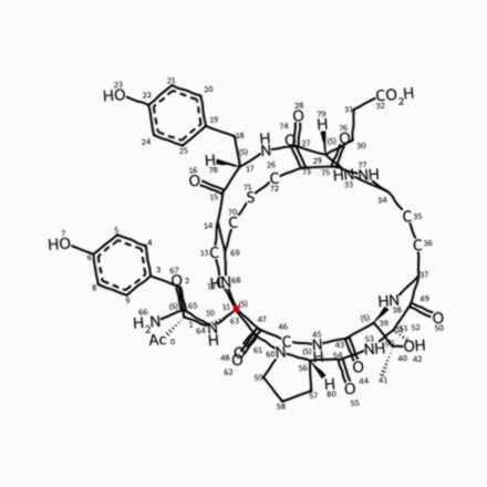 CC(=O)[C@H](Cc1ccc(O)cc1)NC1CCC2C(=O)[C@H](Cc3ccc(O)cc3)NC(=O)[C@H](CCC(=O)O)NC3CCC(N[C@@H]([C@@H](C)O)C(=O)NCC1=O)C(=O)[C@H](C)NC(=O)[C@@H]1CCCN1C(=O)[C@H](CC(N)=O)NC2CSCC(=O)C(=O)N3